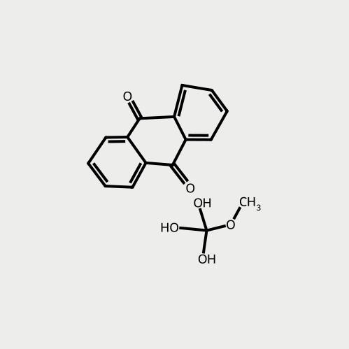 COC(O)(O)O.O=C1c2ccccc2C(=O)c2ccccc21